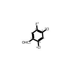 O=Cc1cc(F)c(Cl)cc1Cl